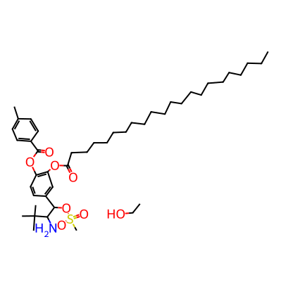 CCCCCCCCCCCCCCCCCCCCCC(=O)Oc1cc(C(OS(C)(=O)=O)C(N)C(C)(C)C)ccc1OC(=O)c1ccc(C)cc1.CCO